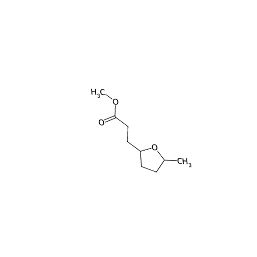 COC(=O)CCC1CCC(C)O1